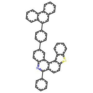 c1ccc(-c2nc3ccc(-c4ccc(-c5cc6ccccc6c6ccccc56)cc4)cc3c3c2ccc2sc4ccccc4c23)cc1